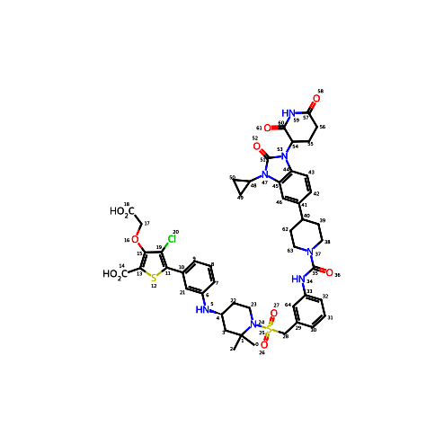 CC1(C)C[C@@H](Nc2cccc(-c3sc(C(=O)O)c(OCC(=O)O)c3Cl)c2)CCN1S(=O)(=O)Cc1cccc(NC(=O)N2CCC(c3ccc4c(c3)n(C3CC3)c(=O)n4C3CCC(=O)NC3=O)CC2)c1